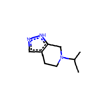 CC(C)N1CCc2cn[nH]c2C1